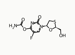 NC(=O)Oc1nc(=O)n([C@H]2CS[C@@H](CO)O2)cc1F